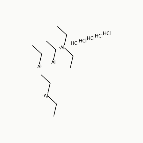 C[CH2][Al].C[CH2][Al].C[CH2][Al][CH2]C.C[CH2][Al][CH2]C.Cl.Cl.Cl.Cl.Cl